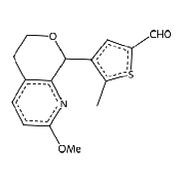 COc1ccc2c(n1)C(c1cc(C=O)sc1C)OCC2